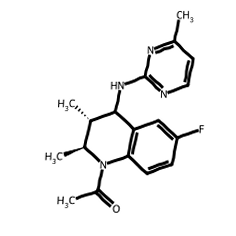 CC(=O)N1c2ccc(F)cc2C(Nc2nccc(C)n2)[C@@H](C)[C@@H]1C